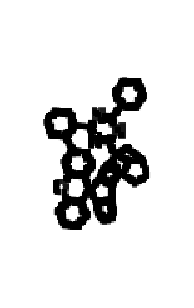 c1ccc(-c2nc(-c3ccccc3-c3ccc4c(c3)Oc3ccccc3C43c4ccccc4-c4ccccc43)nc(C34CC5CCC(C3)C54)n2)cc1